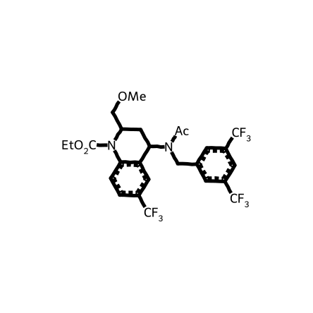 CCOC(=O)N1c2ccc(C(F)(F)F)cc2C(N(Cc2cc(C(F)(F)F)cc(C(F)(F)F)c2)C(C)=O)CC1COC